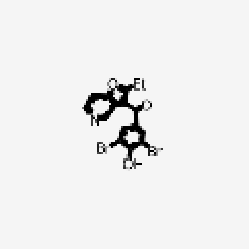 CCc1oc2ccncc2c1C(=O)c1cc(Br)c(O)c(Br)c1